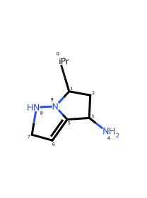 CC(C)C1CC(N)C2=CCNN21